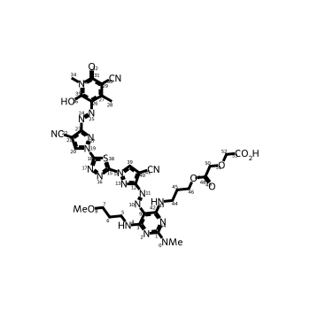 CNc1nc(NCCCOC)c(N=Nc2nn(-c3nnc(-n4cc(C#N)c(N=Nc5c(C)c(C#N)c(=O)n(C)c5O)n4)s3)cc2C#N)c(NCCCOC(=O)COCC(=O)O)n1